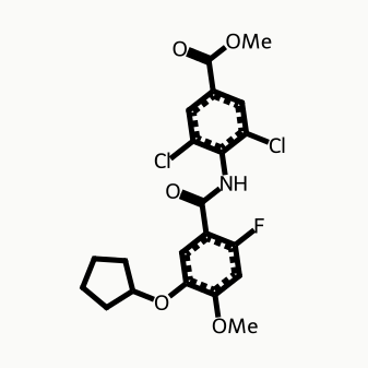 COC(=O)c1cc(Cl)c(NC(=O)c2cc(OC3CCCC3)c(OC)cc2F)c(Cl)c1